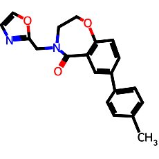 Cc1ccc(-c2ccc3c(c2)C(=O)N(Cc2ncco2)CCO3)cc1